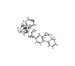 O=C(Nc1ccc(-c2ccccc2F)c(Cl)c1)[C@@]12C[C@@]3(CC[C@H]1O3)[C@H]2c1ccncc1